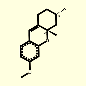 COc1ccc2c(c1)O[C@@]1(C)C[C@@H](C)CCC1=C2